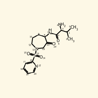 CC(C)[C@H](N)C(=O)NC1CCCN(S(=O)(=O)c2ccccn2)CC1=O